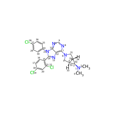 CN(C)[C@H]1[C@@H]2CN(c3ncnc4c3nc(-c3ccc(Cl)cc3Cl)n4-c3ccc(Cl)cc3)C[C@@H]21